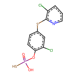 O=P(O)(S)Oc1ccc(Sc2ncccc2Cl)cc1Cl